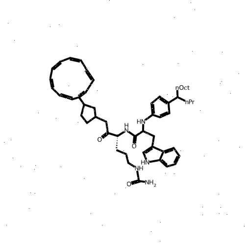 CCCCCCCCC(CCC)c1ccc(NC(Cc2c[nH]c3ccccc23)C(=O)N[C@H](CCCNC(N)=O)C(=O)CC2CCC(C3=C/C=C\C=C/C=C\C=C/C=C\3)C2)cc1